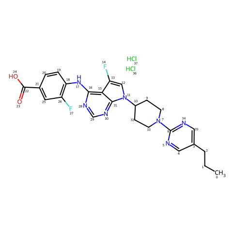 CCCc1cnc(N2CCC(n3cc(F)c4c(Nc5ccc(C(=O)O)cc5F)ncnc43)CC2)nc1.Cl.Cl